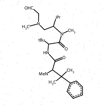 CNC(C(=O)NC(C(=O)N(C)C(CN(C)CC=O)C(C)C)C(C)(C)C)C(C)(C)c1ccccc1